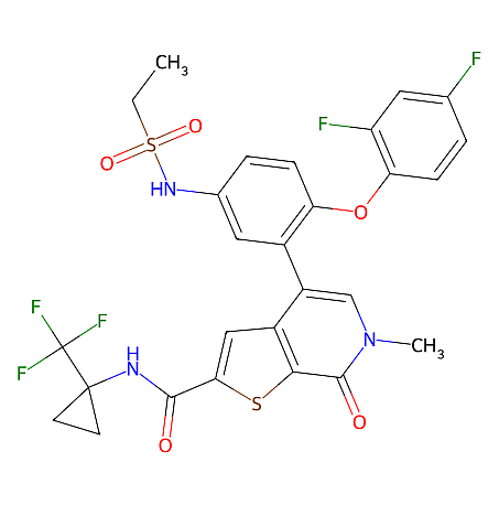 CCS(=O)(=O)Nc1ccc(Oc2ccc(F)cc2F)c(-c2cn(C)c(=O)c3sc(C(=O)NC4(C(F)(F)F)CC4)cc23)c1